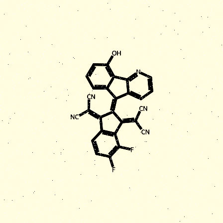 N#CC(C#N)=C1/C(=C2/c3cccnc3-c3c(O)cccc32)C(=C(C#N)C#N)c2c1ccc(F)c2F